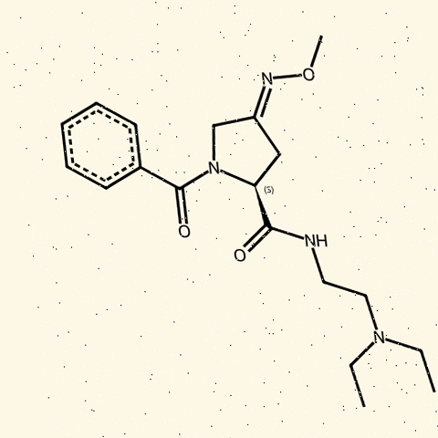 CCN(CC)CCNC(=O)[C@@H]1CC(=NOC)CN1C(=O)c1ccccc1